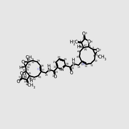 C=C1C(=O)OC2C3O[C@@]3(C)CC/C=C(/CNC(=O)c3cccc(C(=O)NC/C4=C/CC[C@@]5(C)O[C@H]5[C@H]5OC(=O)C(=C)[C@@H]5CC4)n3)CC[C@H]12